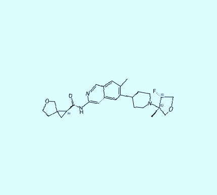 Cc1cc2cnc(NC(=O)[C@H]3CC34CCOC4)cc2cc1C1CCN([C@@]2(C)COC[C@H]2F)CC1